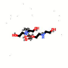 CC(=O)[O-].CC(=O)[O-].OCCNCCO.OCCNCCO.[Zn+2]